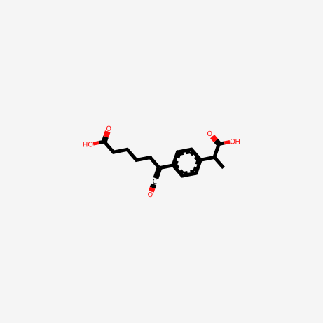 CC(C(=O)O)c1ccc(C(=C=O)CCCCC(=O)O)cc1